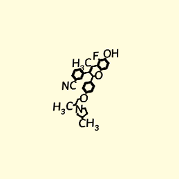 CC1=C(c2cccc(C#N)c2)C(c2ccc(OCC(C)N3CCC(C)C3)cc2)Oc2ccc(O)c(F)c21